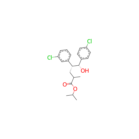 CC(C)OC(=O)C(C)C[C@H](c1cccc(Cl)c1)[C@@H](O)c1ccc(Cl)cc1